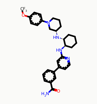 NC(=O)c1cccc(-c2ccnc(N[C@@H]3CCCC[C@H]3N[C@H]3CCCN(c4ccc(OC(F)(F)F)cc4)C3)c2)c1